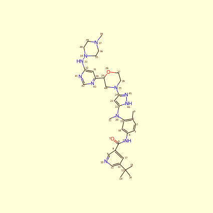 Cc1ccc(NC(=O)c2cncc(C(C)(C)C)c2)cc1N(C)c1cc(N2CCOC(c3cc(NN4CCN(C)CC4)ncn3)C2)n[nH]1